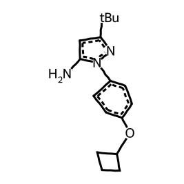 CC(C)(C)c1cc(N)n(-c2ccc(OC3CCC3)cc2)n1